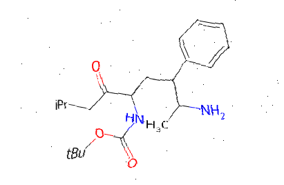 CC(C)CC(=O)C(CC(c1ccccc1)C(C)N)NC(=O)OC(C)(C)C